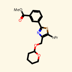 CCCc1sc(-c2cccc(C(=O)OC)c2)nc1COC1CCCCO1